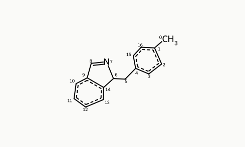 Cc1ccc(CC2N=Cc3ccccc32)cc1